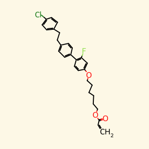 C=CC(=O)OCCCCCCOc1ccc(-c2ccc(CCc3ccc(Cl)cc3)cc2)c(F)c1